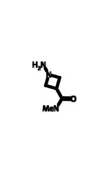 CNC(=O)C1CN(N)C1